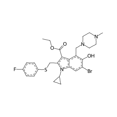 CCOC(=O)c1c(CSc2ccc(F)cc2)n(C2CC2)c2cc(Br)c(O)c(CN3CCN(C)CC3)c12